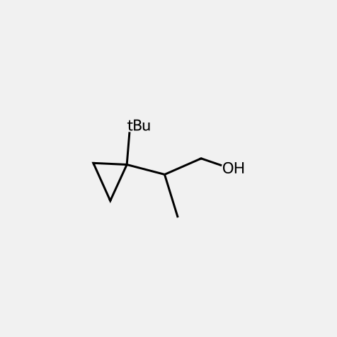 CC(CO)C1(C(C)(C)C)CC1